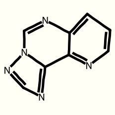 c1cnc2c(c1)ncn1ncnc21